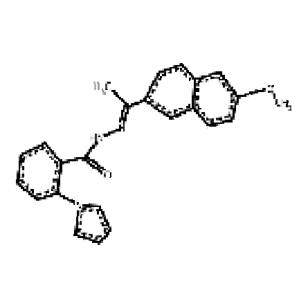 COc1ccc2cc(C(C)=NNC(=O)c3ccccc3-n3cccc3)ccc2c1